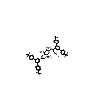 CC(C)(C)c1ccc(-c2cc(-c3ccc(C(C)(C)C)cc3)cc(C(CN)CC3CCC(CC(CN)c4cc(-c5ccc(C(C)(C)C)cc5)cc(-c5ccc(C(C)(C)C)cc5)c4)C(O)C3O)c2)cc1